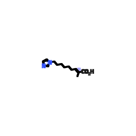 C/C(=C\CCCCCCn1ccnc1)C(=O)O